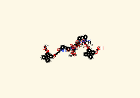 CC(C)OCCOc1ccc(C2(c3ccc(OCCCCC(=O)NC4=CCCC(Cc5cccc(NC(=O)OCC(C)(COC(=O)Nc6cccc(CC7=CCCC(NC(=O)C(C)(C)OCCOc8ccc(C9(c%10ccc(OCCO)cc%10)C%10=C(CCC=C%10)c%10ccccc%109)cc8)=C7)c6)C(=O)OCC(O)COC(=O)C(C)C)c5)=C4)cc3)C3=C(CCC=C3)c3ccccc32)cc1